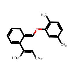 COC=C(C(=O)O)C1=CC=CCC1=COc1cc(C)ccc1C